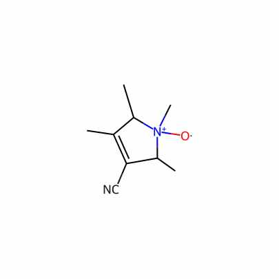 CC1=C(C#N)C(C)[N+](C)([O])C1C